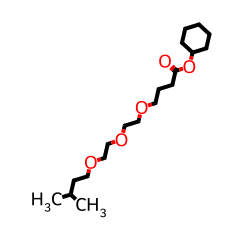 CC(C)CCOCCOCCOCCCC(=O)OC1CCCCC1